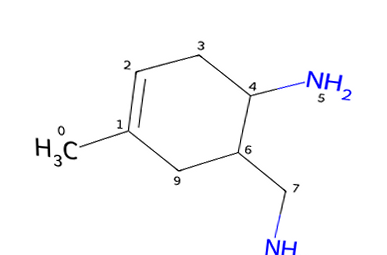 CC1=CCC(N)C(CN)C1